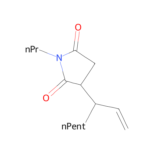 C=CC(CCCCC)C1CC(=O)N(CCC)C1=O